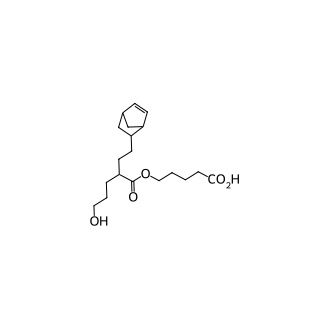 O=C(O)CCCCOC(=O)C(CCCO)CCC1CC2C=CC1C2